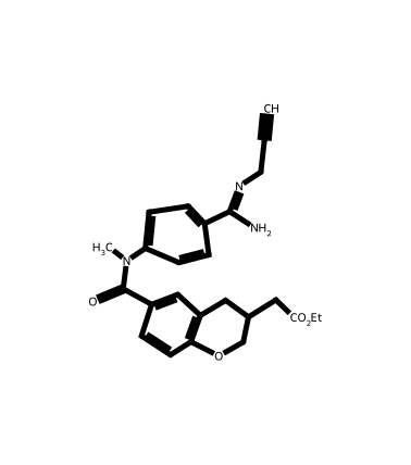 C#CCN=C(N)c1ccc(N(C)C(=O)c2ccc3c(c2)CC(CC(=O)OCC)CO3)cc1